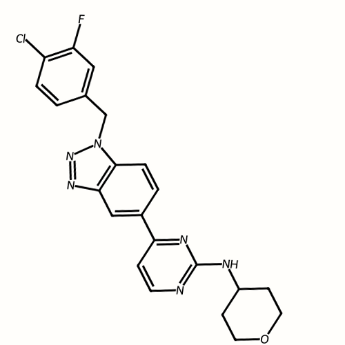 Fc1cc(Cn2nnc3cc(-c4ccnc(NC5CCOCC5)n4)ccc32)ccc1Cl